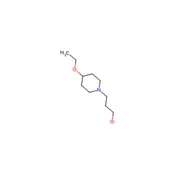 CCOC1CCN(CCC[O])CC1